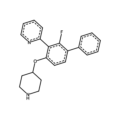 Fc1c(-c2ccccc2)ccc(OC2CCNCC2)c1-c1ccccn1